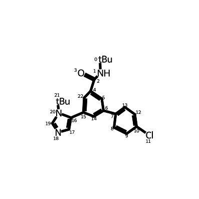 CC(C)(C)NC(=O)c1cc(-c2ccc(Cl)cc2)cc(-c2cncn2C(C)(C)C)c1